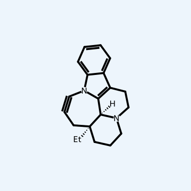 CC[C@@]12CC#Cn3c4c(c5ccccc53)CCN(CCC1)[C@H]42